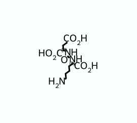 NCCCC[C@@H](NC(=O)N[C@H](CCC(=O)O)C(=O)O)C(=O)O